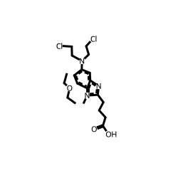 CCOCC.Cn1c(CCCC(=O)O)nc2cc(N(CCCl)CCCl)ccc21